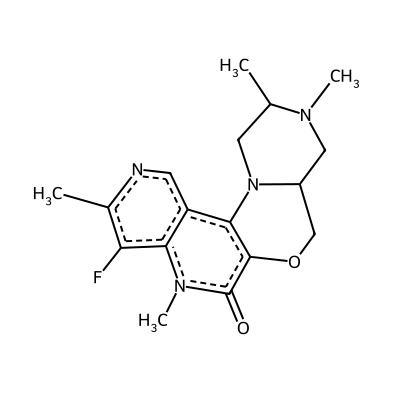 Cc1ncc2c3c(c(=O)n(C)c2c1F)OCC1CN(C)C(C)CN31